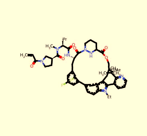 C=CC(=O)N1CC[C@H](C(=O)N(C)[C@H](C(=O)N[C@H]2Cc3cc(F)cc(c3F)-c3ccc4c(c3)c(c(-c3cccnc3[C@H](C)OC)n4CC)CC(C)(C)COC(=O)[C@@H]3CCCN(N3)C2=O)C(C)C)C1